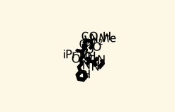 CN[C@H]1C(=O)OB(C(CC(C)C)NC(=O)C(Cc2ccccc2)NC(=O)c2cnccn2)O[C@H]1C(=O)O